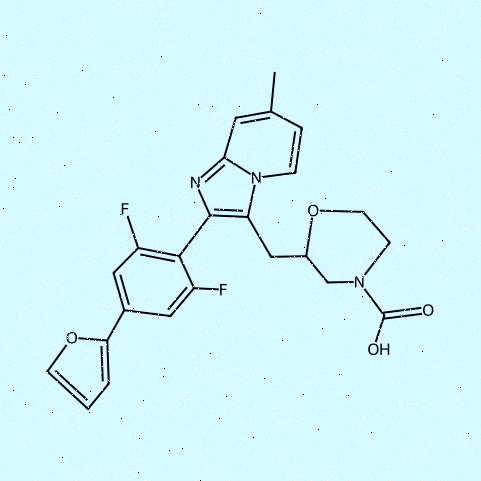 Cc1ccn2c(CC3CN(C(=O)O)CCO3)c(-c3c(F)cc(-c4ccco4)cc3F)nc2c1